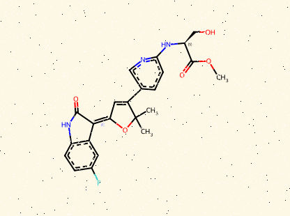 COC(=O)[C@H](CO)Nc1ccc(C2=C/C(=C3\C(=O)Nc4ccc(F)cc43)OC2(C)C)cn1